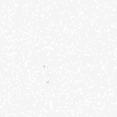 O=C1N[C@H](C(F)(F)F)c2ccccc2N1C#CC1CC1